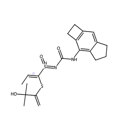 C=C(S/C(=C\C)[SH](=O)=NC(=O)Nc1c2c(cc3c1CC3)CCC2)C(C)(C)O